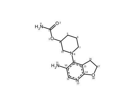 NC(=O)OC1CCCN(c2c(N)cnc3c2CCO3)C1